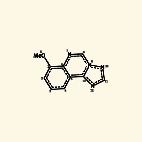 COc1cccc2c1ncn1ncnc21